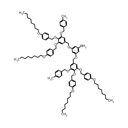 CCCCCCCCOc1ccc(COc2cc(COc3cc(N)cc(OCc4cc(OCc5ccc(C)cc5)c(OCc5ccc(OCCCCCCCC)cc5)c(OCc5ccc(OCCCCCCCC)cc5)c4)c3)cc(OCc3ccc(C)cc3)c2OCc2ccc(OCCCCCCCC)cc2)cc1